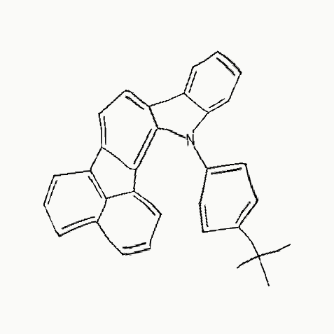 CC(C)(C)c1ccc(-n2c3ccccc3c3ccc4c(c32)-c2cccc3cccc-4c23)cc1